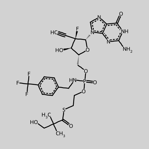 C#C[C@@]1(F)[C@H](O)[C@@H](COP(=O)(NCc2ccc(C(F)(F)F)cc2)OCCSC(=O)C(C)(C)CO)O[C@H]1n1cnc2c(=O)[nH]c(N)nc21